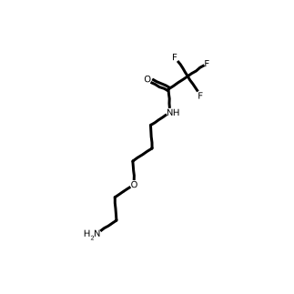 NCCOCCCNC(=O)C(F)(F)F